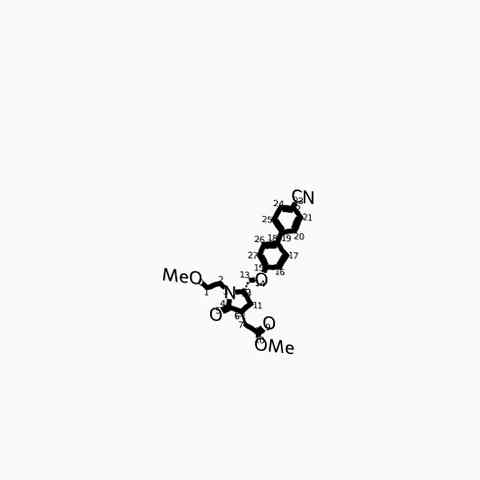 COCCN1C(=O)[C@H](CC(=O)OC)C[C@H]1COc1ccc(-c2ccc(C#N)cc2)cc1